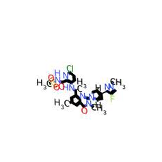 Cc1cc([C@@H](C)Nc2ccc(Cl)nc2C(=O)NS(C)(=O)=O)c2nc(N3C[C@H]4C[C@@H]3C[C@@H]4c3nn(C)cc3F)n(C)c(=O)c2c1